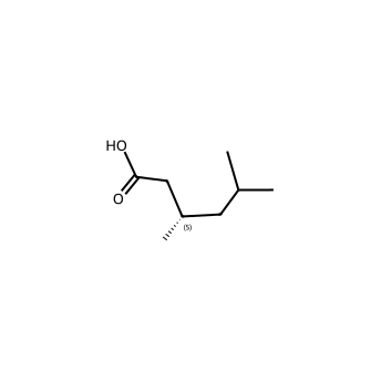 CC(C)C[C@H](C)CC(=O)O